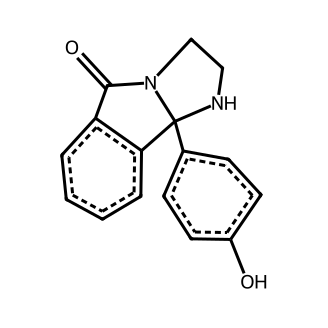 O=C1c2ccccc2C2(c3ccc(O)cc3)NCCN12